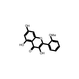 COc1ccccc1-c1oc2cc(O)cc(O)c2c(=O)c1O